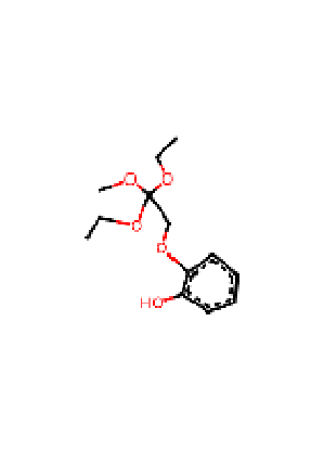 CCOC(COc1ccccc1O)(OC)OCC